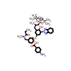 C=CC(=O)N(C)Cc1ccccc1.Cc1cc(CC(C)C[Si](C)(O[Si](C)(C)C)O[Si](C)(C)C)c(O)c(-n2nc3ccccc3n2)c1.Nc1ccc(C(=O)O)cc1